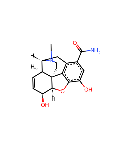 CN1CC[C@]23c4c5c(C(N)=O)cc(O)c4O[C@H]2[C@@H](O)C=C[C@H]3[C@H]1C5